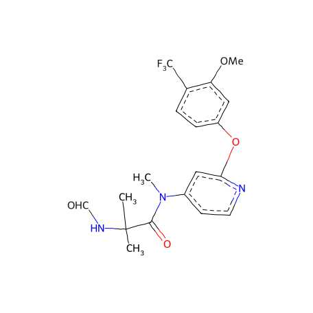 COc1cc(Oc2cc(N(C)C(=O)C(C)(C)NC=O)ccn2)ccc1C(F)(F)F